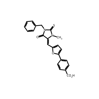 CN1C(=S)N(Cc2ccccc2)C(=O)/C1=C/c1ccc(-c2ccc(C(=O)O)cc2)o1